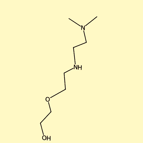 CN(C)CCNCCOCCO